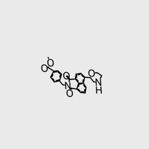 COC(=O)c1ccc(CN2C(=O)c3cccc4c(C5CNCCO5)ccc(c34)C2=O)cc1